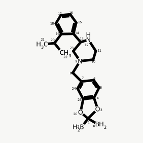 BC1(B)Oc2ccc(CN3CCNC(c4ccccc4C(C)C)C3)cc2O1